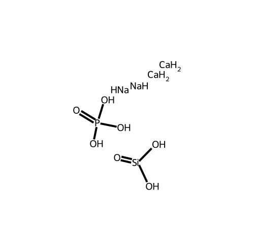 O=P(O)(O)O.O=[Si](O)O.[CaH2].[CaH2].[NaH].[NaH]